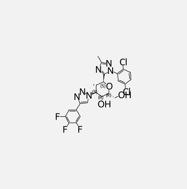 Cc1nc([C@@H]2[CH][C@H](n3cc(-c4cc(F)c(F)c(F)c4)nn3)[C@@H](O)[C@@H](CO)O2)n(-c2cc(Cl)ccc2Cl)n1